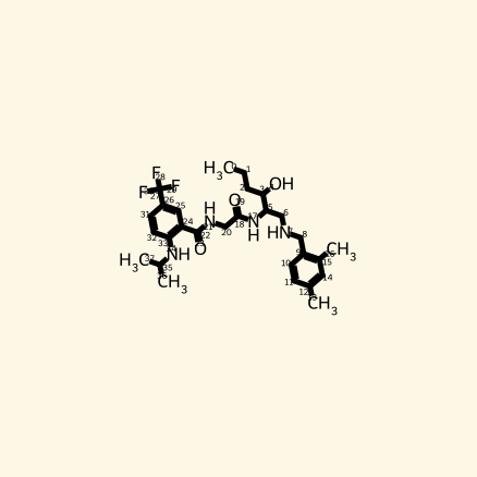 CCCC(O)C(CNCc1ccc(C)cc1C)NC(=O)CNC(=O)c1cc(C(F)(F)F)ccc1NC(C)C